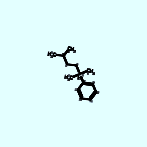 CC(C)CC[PH](C)(C)c1ccccc1